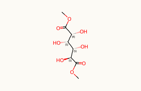 COC(=O)[C@@H](O)[C@@H](O)[C@H](O)[C@@H](O)C(=O)OC